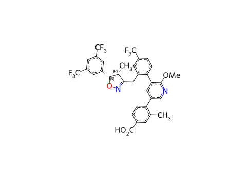 COc1ncc(-c2ccc(C(=O)O)cc2C)cc1-c1ccc(C(F)(F)F)cc1CC1=NO[C@H](c2cc(C(F)(F)F)cc(C(F)(F)F)c2)[C@@H]1C